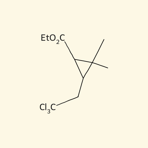 CCOC(=O)C1C(CC(Cl)(Cl)Cl)C1(C)C